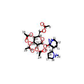 CC(=O)OC[C@H]1O[C@@H](Oc2ncccc2[C@@H]2CCCN2C)[C@H](OC(C)=O)[C@@H](OC(C)=O)[C@@H]1OC(C)=O